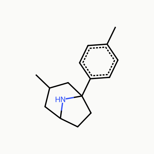 Cc1ccc(C23CCC(CC(C)C2)N3)cc1